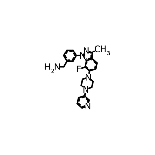 Cc1nn(-c2cccc(CN)c2)c2c(F)c(N3CCN(c4cccnc4)CC3)ccc12